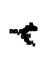 CCOC(=O)n1nc(NC(=O)c2ccc(N)cc2)c2c1C(C)(C)N(C(=O)N[C@H](CN(C)C)C1CCOCC1)C2